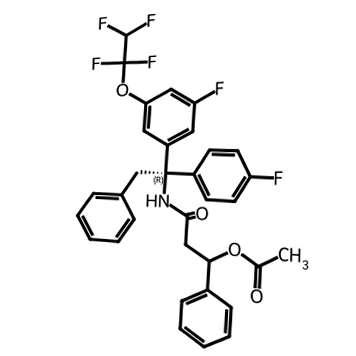 CC(=O)OC(CC(=O)N[C@](Cc1ccccc1)(c1ccc(F)cc1)c1cc(F)cc(OC(F)(F)C(F)F)c1)c1ccccc1